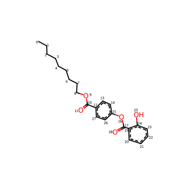 CCCCCCCCCOC(=O)c1ccc(OC(=O)c2ccccc2O)cc1